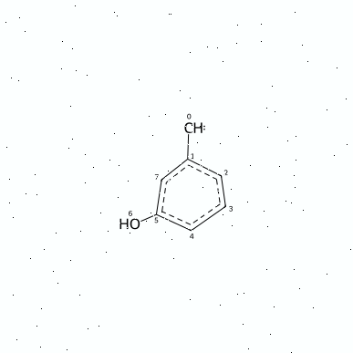 [CH]c1cccc(O)c1